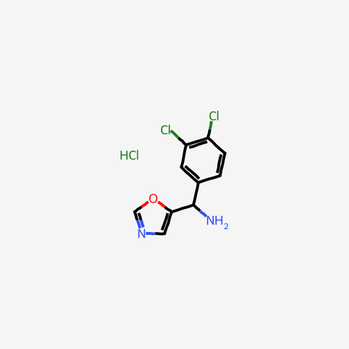 Cl.NC(c1ccc(Cl)c(Cl)c1)c1cnco1